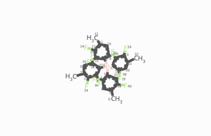 Cc1cc(F)c([B-](c2c(F)cc(C)c(F)c2F)(c2c(F)cc(C)c(F)c2F)c2c(F)cc(C)c(F)c2F)c(F)c1F